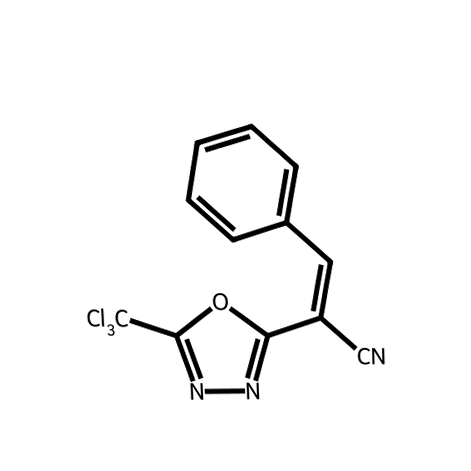 N#CC(=Cc1ccccc1)c1nnc(C(Cl)(Cl)Cl)o1